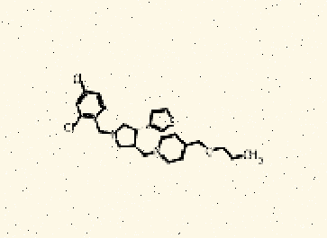 CCCOCC1CCN(C[C@H]2CN(Cc3ccc(Cl)cc3Cl)C[C@@H]2c2ccsc2)CC1